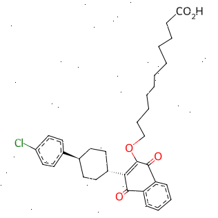 O=C(O)CCCCCCCCCCOC1=C([C@H]2CC[C@H](c3ccc(Cl)cc3)CC2)C(=O)c2ccccc2C1=O